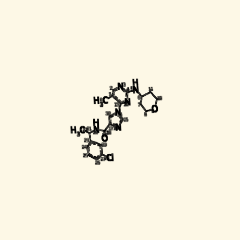 Cc1cnc(NC2CCOCC2)nc1-n1cnc(C(=O)NC(C)c2cccc(Cl)c2)c1